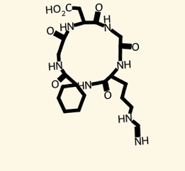 N=CNCCCC1NC(=O)CNC(=O)C(CC(=O)O)NC(=O)CNC(=O)C2(CCCCC2)NC1=O